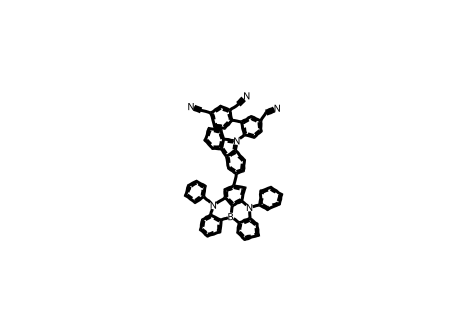 N#Cc1ccc(-c2cc(C#N)ccc2-n2c3ccccc3c3cc(-c4cc5c6c(c4)N(c4ccccc4)c4ccccc4B6c4ccccc4N5c4ccccc4)ccc32)c(C#N)c1